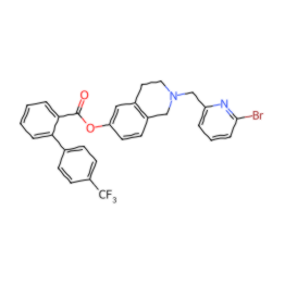 O=C(Oc1ccc2c(c1)CCN(Cc1cccc(Br)n1)C2)c1ccccc1-c1ccc(C(F)(F)F)cc1